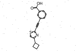 O=C(O)c1cccc(C#Cc2nc(C3CCC3)cs2)c1